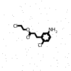 Nc1ccc(Cl)c(CCC(=O)OCCCl)c1